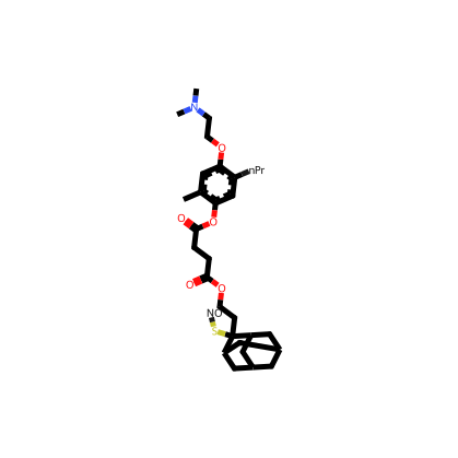 CCCc1cc(OC(=O)CCC(=O)OCCC2(SN=O)C3CC4CC(C3)CC2C4)c(C)cc1OCCN(C)C